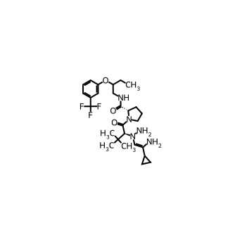 CCC(CNC(=O)[C@@H]1CCCN1C(=O)[C@@H](N(N)/C=C(\N)C1CC1)C(C)(C)C)Oc1cccc(C(F)(F)F)c1